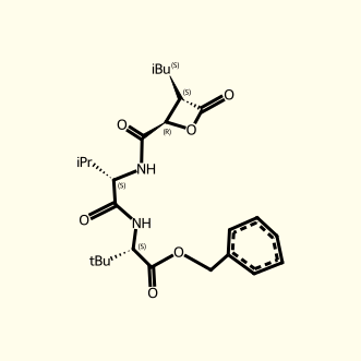 CC[C@H](C)[C@@H]1C(=O)O[C@H]1C(=O)N[C@H](C(=O)N[C@H](C(=O)OCc1ccccc1)C(C)(C)C)C(C)C